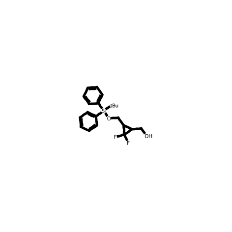 CC(C)(C)[Si](OCC1C(CO)C1(F)F)(c1ccccc1)c1ccccc1